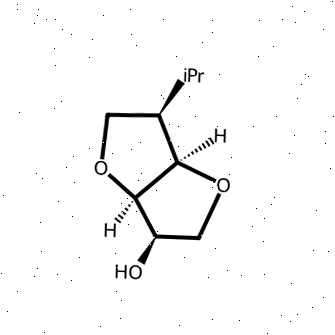 CC(C)[C@@H]1CO[C@H]2[C@@H]1OC[C@H]2O